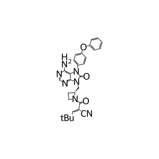 CC(C)(C)C=C(C#N)C(=O)N1CC[C@H]1Cn1c(=O)n(-c2ccc(Oc3ccccc3)cc2)c2c(N)ncnc21